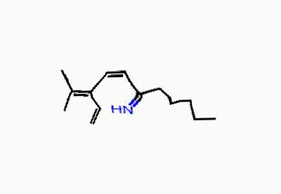 C=CC(/C=C\C(=N)CCCCC)=C(C)C